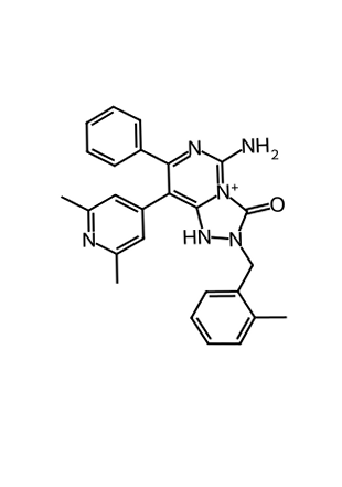 Cc1cc(-c2c(-c3ccccc3)nc(N)[n+]3c(=O)n(Cc4ccccc4C)[nH]c23)cc(C)n1